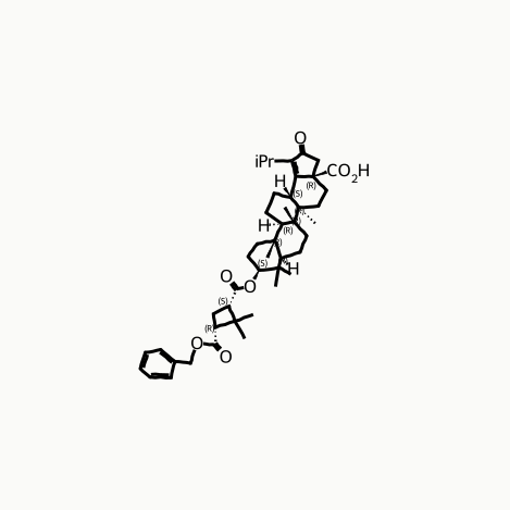 CC(C)C1=C2[C@H]3CC[C@@H]4[C@@]5(C)CC[C@H](OC(=O)[C@H]6C[C@@H](C(=O)OCc7ccccc7)C6(C)C)C(C)(C)[C@@H]5CC[C@@]4(C)[C@]3(C)CC[C@@]2(C(=O)O)CC1=O